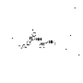 COc1ccc(-c2cc(NCCC3CCCCN3CCCN)c3ccccc3n2)cc1